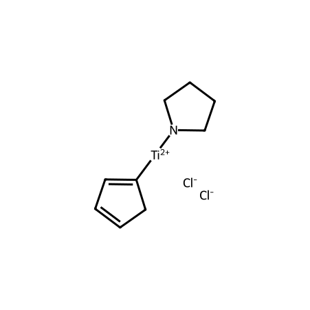 C1=CC[C]([Ti+2][N]2CCCC2)=C1.[Cl-].[Cl-]